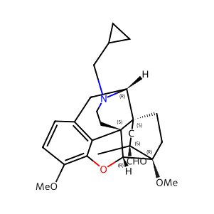 COc1ccc2c3c1O[C@H]1[C@@]4(OC)CC[C@@]5(C[C@]4(C)C=O)[C@@H](C2)N(CC2CC2)CC[C@]315